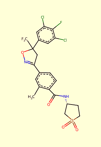 Cc1cc(C2=NOC(c3cc(Cl)c(F)c(Cl)c3)(C(F)(F)F)C2)ccc1C(=O)N[C@@H]1CCS(=O)(=O)C1